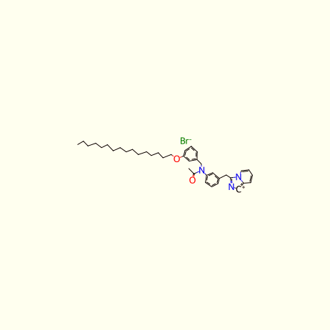 CCCCCCCCCCCCCCCCOc1cccc(CN(C(C)=O)c2cccc(CC3=N[C+]=C4C=CC=CN43)c2)c1.[Br-]